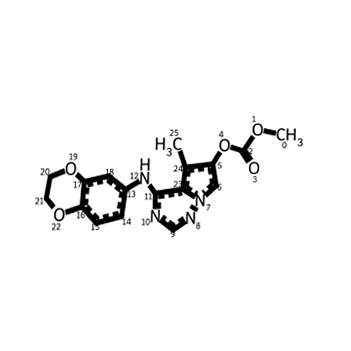 COC(=O)Oc1cn2ncnc(Nc3ccc4c(c3)OCCO4)c2c1C